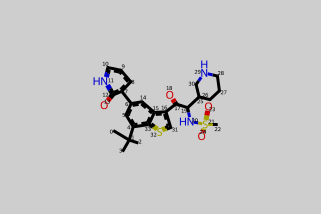 CC(C)(C)c1cc(-c2ccc[nH]c2=O)cc2c(C(=O)C(NS(C)(=O)=O)C3CCCNC3)csc12